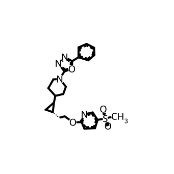 CS(=O)(=O)c1ccc(OCC[C@@H]2CC2C2CCN(c3nnc(-c4ccccc4)o3)CC2)nc1